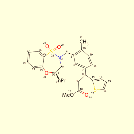 CCC[C@@H]1CN(Cc2cc(C(CC(=O)OC)c3cccs3)ccc2C)S(=O)(=O)c2ccccc2O1